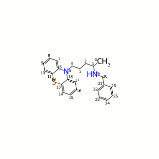 CC(CCCN1c2ccccc2Sc2ccccc21)NCc1ccccc1